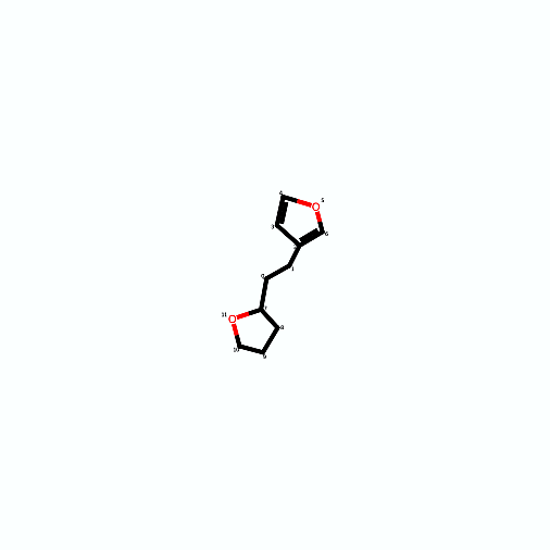 [CH](Cc1ccoc1)C1CCCO1